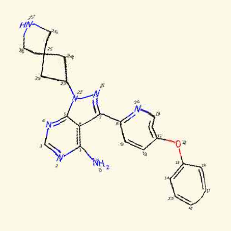 Nc1ncnc2c1c(-c1ccc(Oc3ccccc3)cn1)nn2C1CC2(CNC2)C1